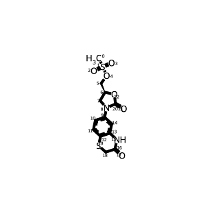 CS(=O)(=O)OC[C@@H]1CN(c2ccc3c(c2)NC(=O)CS3)C(=O)O1